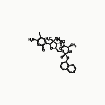 CC(C)OC(=O)[C@@H](C)N[P@@](=O)(OC[C@H]1OC(n2cc(I)c(N)nc2=O)[C@](C)(O)[C@@H]1O)Oc1cccc2ccccc12